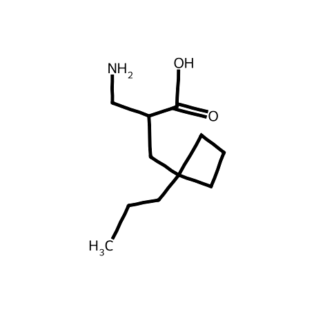 CCCC1(CC(CN)C(=O)O)CCC1